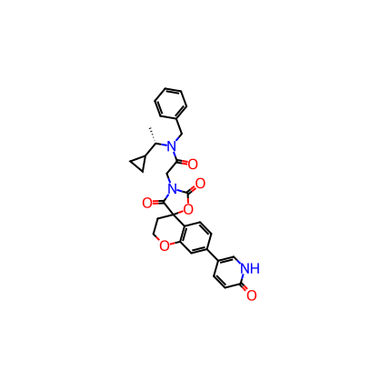 C[C@@H](C1CC1)N(Cc1ccccc1)C(=O)CN1C(=O)OC2(CCOc3cc(-c4ccc(=O)[nH]c4)ccc32)C1=O